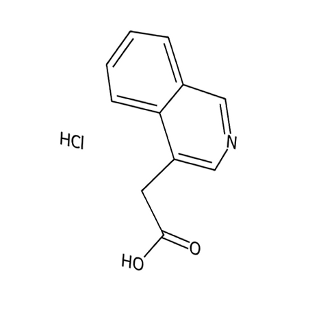 Cl.O=C(O)Cc1cncc2ccccc12